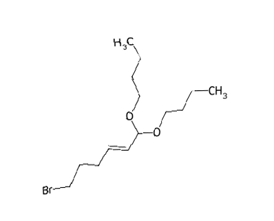 CCCCOC(/C=C/CCCBr)OCCCC